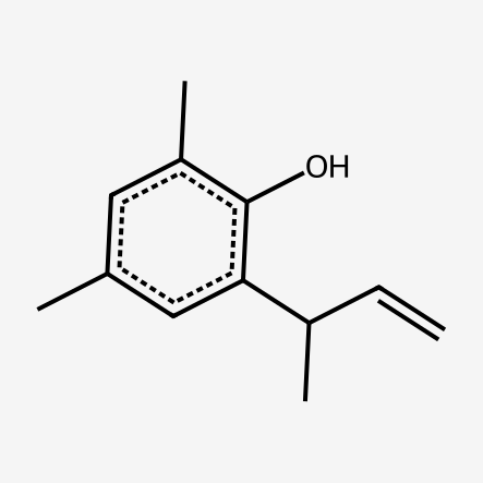 C=CC(C)c1cc(C)cc(C)c1O